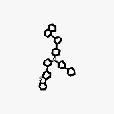 c1ccc(-c2ccc(N(c3ccc(-c4cccc(-c5cccc6ccccc56)c4)cc3)c3cccc(-c4ccc5c(c4)sc4ccccc45)c3)cc2)cc1